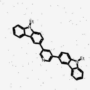 CCn1c2ccccc2c2cc(-c3cncc(-c4ccc5c(c4)c4ccccc4n5CC)c3)ccc21